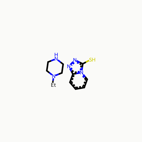 CCN1CCNCC1.Sc1nnc2ccccn12